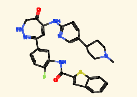 CN1CCC(c2ccc(NC3=CC(c4ccc(F)c(NC(=O)c5cc6ccccc6s5)c4)=NNCC3=O)nc2)CC1